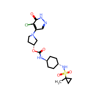 CC1(S(=O)(=O)N[C@H]2CC[C@H](NC(=O)O[C@@H]3CCN(c4cn[nH]c(=O)c4Cl)C3)CC2)CC1